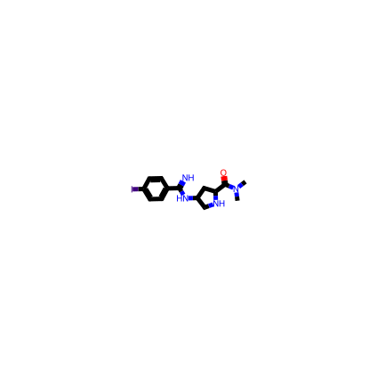 CN(C)C(=O)C1CC(NC(=N)c2ccc(I)cc2)CN1